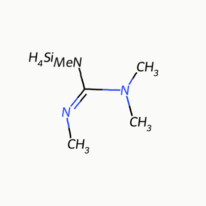 CN=C(NC)N(C)C.[SiH4]